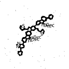 CCCCCCCCCCC1(CCCCCCCCCC)c2cc(-c3ccccc3)ccc2-c2ccc(-c3cc(/C=C/c4cccs4)c(-c4ccc5c(c4)C(CCCCCCCCCC)(CCCCCCCCCC)c4cc(-c6ccc(-c7ccccc7)c7c6=NCN=7)ccc4-5)cc3/C=C/c3cccs3)cc21